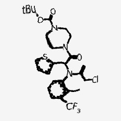 C=C(CCl)N(c1cccc(C(F)(F)F)c1C)C(C(=O)N1CCN(C(=O)OC(C)(C)C)CC1)c1cccs1